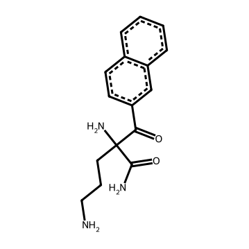 NCCCC(N)(C(N)=O)C(=O)c1ccc2ccccc2c1